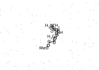 COc1ccc(C(=O)/C=C/C(=O)N2CCN(c3ccc(Nc4ncc5cc(C(=O)N(C)C)n(C6CCCC6)c5n4)nc3)[C@@H](C)C2)cc1